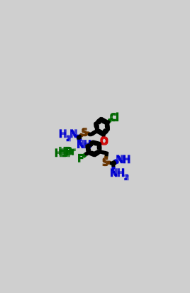 Br.Br.N=C(N)SCc1cc(F)ccc1Oc1cc(Cl)ccc1CSC(=N)N